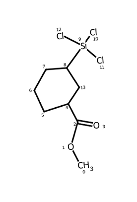 COC(=O)C1CCCC([Si](Cl)(Cl)Cl)C1